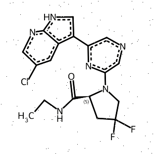 CCNC(=O)[C@@H]1CC(F)(F)CN1c1cncc(-c2c[nH]c3ncc(Cl)cc23)n1